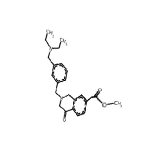 CCN(CC)Cc1cccc(CN2CC(=O)c3ccc(C(=O)OC)cc3C2)c1